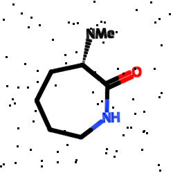 CN[C@H]1CCCCNC1=O